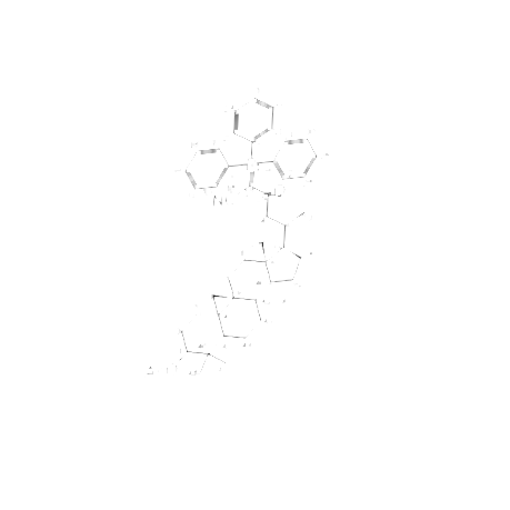 CC(=O)O[C@H]1CC[C@]23C[C@]24CC[C@]2(C)[C@@H]([C@H](C)CC(=O)C(C#N)=P(c5ccccc5)(c5ccccc5)c5ccccc5)CC[C@@]2(C)C4CCC3C1(C)C